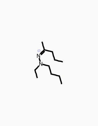 CCCCN(CC)/N=C(/C)CCC